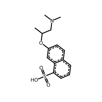 CC(CN(C)C)Oc1ccc2cccc(S(=O)(=O)O)c2c1